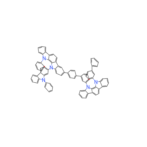 c1ccc(-c2cccc(-n3c4ccccc4c4ccc5c6ccccc6n(-c6cccc(-c7ccc(-c8ccc9c(c8)c8ccc%10c%11ccccc%11n(-c%11ccccc%11)c%10c8n9-c8ccc9c%10ccccc%10n(-c%10ccccc%10)c9c8)cc7)c6)c5c43)c2)cc1